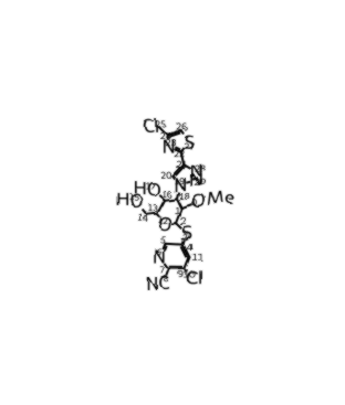 COC1C(Sc2cnc(C#N)c(Cl)c2)OC(CO)C(O)C1n1cc(-c2nc(Cl)cs2)nn1